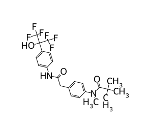 CN(C(=O)C(C)(C)C)c1ccc(CC(=O)Nc2ccc(C(O)(C(F)(F)F)C(F)(F)F)cc2)cc1